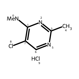 CNc1nc(C)ncc1Cl.Cl